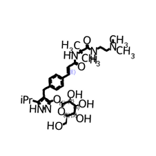 CC(C)c1[nH]nc(O[C@@H]2O[C@H](CO)[C@@H](O)[C@H](O)[C@H]2O)c1Cc1ccc(/C=C/C(=O)NC(C)(C)C(=O)NCCN(C)C)cc1